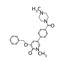 CN1CCN(C(=O)c2ccc(-c3cc(OCc4ccccc4)c(=O)n(C)c3)cc2)CC1